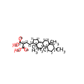 C[C@@H]1CCC2(C)C3CCC4(C)C(CCC(C(=O)O)C(=O)O)CCC4C3CCC2(C)C1